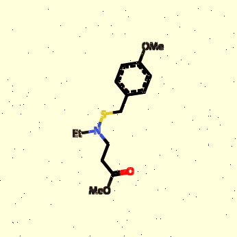 CCN(CCC(=O)OC)SCc1ccc(OC)cc1